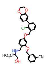 N#Cc1cccc(COc2cc(OCc3cccc(-c4ccc5c(c4)OCCO5)c3Cl)ccc2CNC(CO)C(=O)O)c1